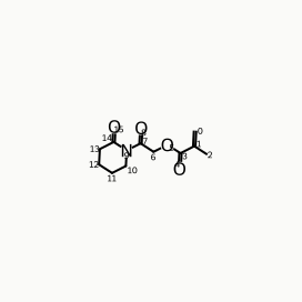 C=C(C)C(=O)OCC(=O)N1CCCCC1=O